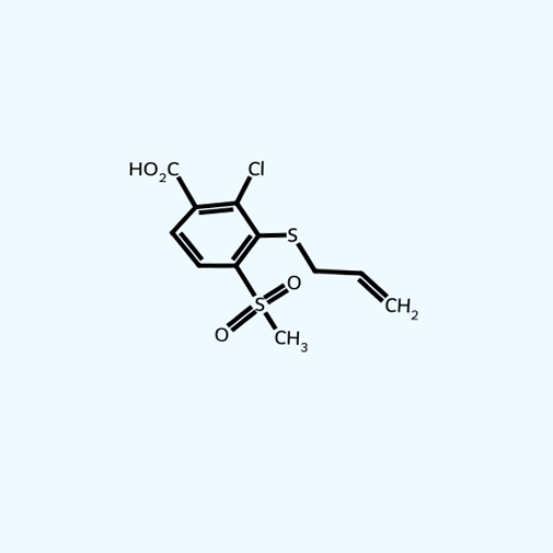 C=CCSc1c(S(C)(=O)=O)ccc(C(=O)O)c1Cl